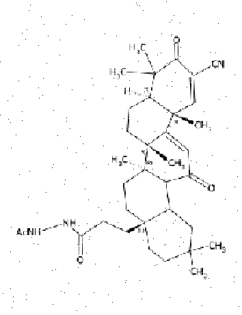 CC(=O)NNC(=O)CC[C@]12CCC(C)(C)CC1C1C(=O)C=C3[C@@]4(C)C=C(C#N)C(=O)C(C)(C)[C@@H]4CC[C@@]3(C)[C@]1(C)CC2